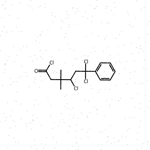 CC(C)(CC(=O)Cl)C(Cl)CC(Cl)(Cl)c1ccccc1